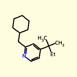 CCC(C)(C)c1ccnc(CC2CCCCC2)c1